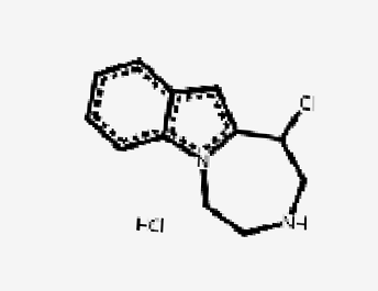 Cl.ClC1CNCCn2c1cc1ccccc12